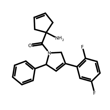 NC1(C(=O)N2CC(c3cc(F)ccc3F)=CC2c2ccccc2)CC=CC1